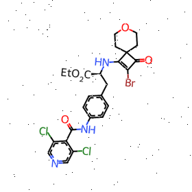 CCOC(=O)[C@H](Cc1ccc(NC(=O)c2c(Cl)cncc2Cl)cc1)NC1=C(Br)C(=O)C12CCOCC2